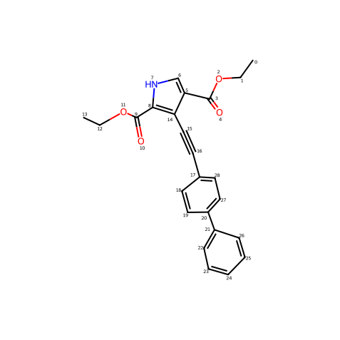 CCOC(=O)c1c[nH]c(C(=O)OCC)c1C#Cc1ccc(-c2ccccc2)cc1